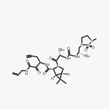 C#CCC(NC(=O)[C@@H]1[C@@H]2[C@H](CN1C(=O)[C@@H](NC(=O)N[C@H](CN1CCN(C)S1(=O)=O)C(C)(C)C)C(C)(C)C)C2(C)C)C(=O)C(=O)NCC=C